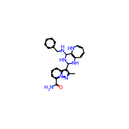 Cc1nn2c(C(N)=O)cccc2c1C1NC2=C(NC=CC=C2)C(NCc2ccccc2)N1